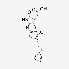 COc1c(OCCn2ccnc2)ccc2c1CN1C(=N2)NC(=O)C1CC(=O)O